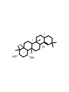 CC1(C)C=C2[C@H]3CC[C@@H]4[C@@]5(C)[C@H](O)C[C@H](O)C(C)(C)[C@@H]5CC[C@@]4(C)[C@]3(C)CC[C@@]2(C)CC1